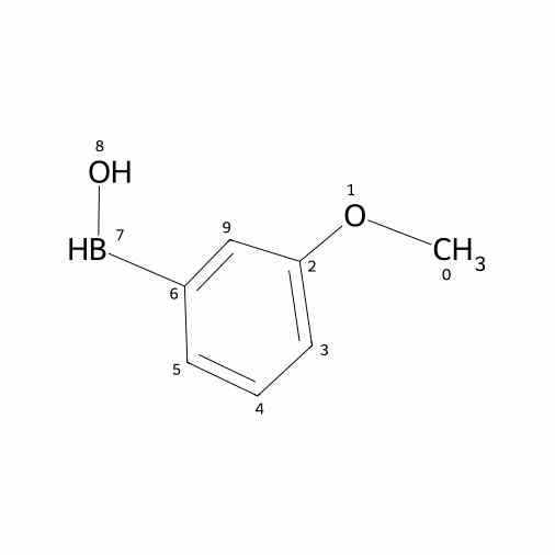 COc1cccc(BO)c1